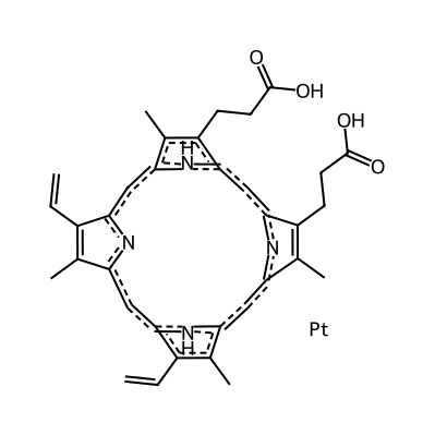 C=CC1=C(C)c2cc3[nH]c(cc4nc(cc5[nH]c(cc1n2)c(C)c5CCC(=O)O)C(CCC(=O)O)=C4C)c(C)c3C=C.[Pt]